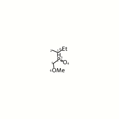 CCC(C)[PH](=O)COC